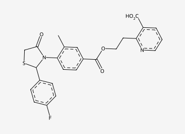 Cc1cc(C(=O)OCCc2ncccc2C(=O)O)ccc1N1C(=O)CSC1c1ccc(F)cc1